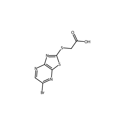 O=C(O)CSc1nc2ncc(Br)nc2s1